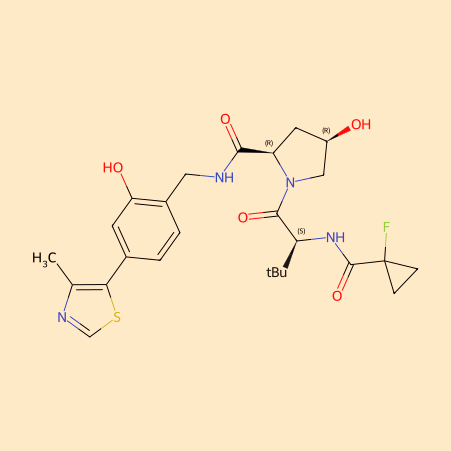 Cc1ncsc1-c1ccc(CNC(=O)[C@H]2C[C@@H](O)CN2C(=O)[C@@H](NC(=O)C2(F)CC2)C(C)(C)C)c(O)c1